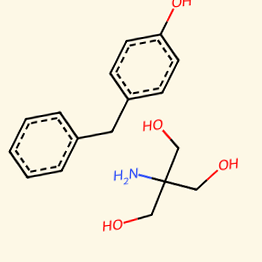 NC(CO)(CO)CO.Oc1ccc(Cc2ccccc2)cc1